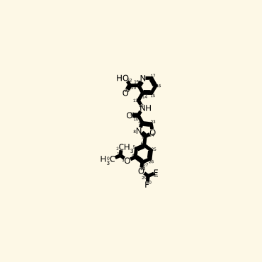 CC(C)Oc1cc(-c2nc(C(=O)NCc3cccnc3C(=O)O)co2)ccc1OC(F)F